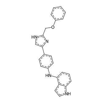 c1ccc(OCc2nc(-c3ccc(Nc4cccc5[nH]ccc45)cc3)c[nH]2)cc1